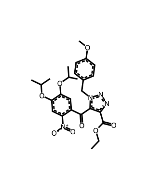 CCOC(=O)c1nnn(Cc2ccc(OC)cc2)c1C(=O)c1cc(OC(C)C)c(OC(C)C)cc1[N+](=O)[O-]